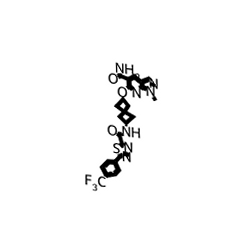 Cn1ncc2cc(C(N)=O)c(O[C@H]3CC4(C[C@H](NC(=O)c5nnc(-c6ccc(C(F)(F)F)cc6)s5)C4)C3)nc21